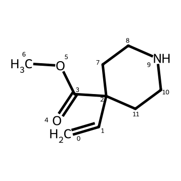 C=CC1(C(=O)OC)CCNCC1